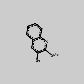 CSc1nc2ccccc2cc1C(C)C